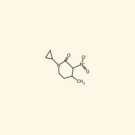 CC1CCN(C2CC2)C(=O)C1[N+](=O)[O-]